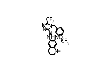 CN1CCCc2cc(N=Nc3nnc(C(F)(F)F)n3Cc3ccccc3)c(NOC(F)(F)F)cc21